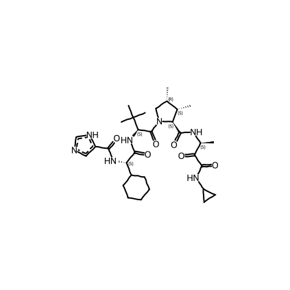 C[C@@H]1[C@@H](C(=O)N[C@@H](C)C(=O)C(=O)NC2CC2)N(C(=O)[C@@H](NC(=O)[C@@H](NC(=O)c2cnc[nH]2)C2CCCCC2)C(C)(C)C)C[C@@H]1C